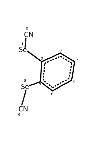 N#C[Se]c1ccccc1[Se]C#N